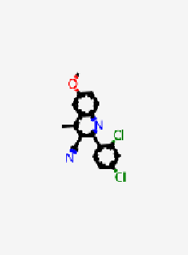 COc1ccc2nc(-c3ccc(Cl)cc3Cl)c(C#N)c(C)c2c1